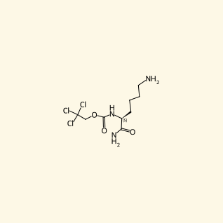 NCCCC[C@H](NC(=O)OCC(Cl)(Cl)Cl)C(N)=O